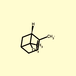 [CH2]C1=CCC2C[C@H]1C2(C)C